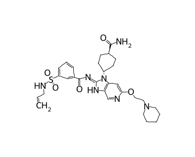 C=CCNS(=O)(=O)c1cccc(C(=O)/N=c2\[nH]c3cnc(OCCN4CCCCC4)cc3n2[C@H]2CC[C@H](C(N)=O)CC2)c1